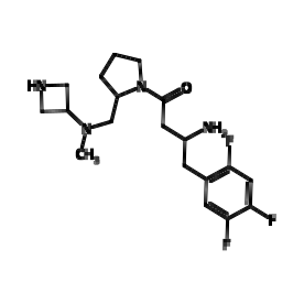 CN(CC1CCCN1C(=O)CC(N)Cc1cc(F)c(F)cc1F)C1CNC1